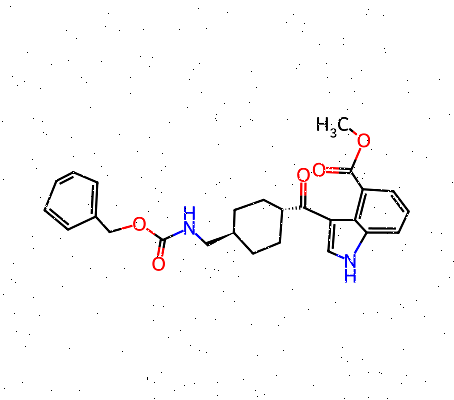 COC(=O)c1cccc2[nH]cc(C(=O)[C@H]3CC[C@H](CNC(=O)OCc4ccccc4)CC3)c12